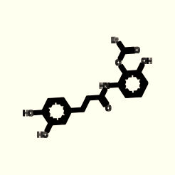 CCC(=O)Oc1c(O)cccc1NC(=O)CCc1ccc(O)c(O)c1